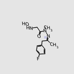 C/C(Cc1ccc(F)cc1)=N/N(C)C(=O)CNO